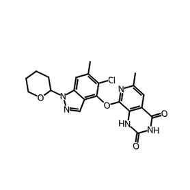 Cc1cc2c(=O)[nH]c(=O)[nH]c2c(Oc2c(Cl)c(C)cc3c2cnn3C2CCCCO2)n1